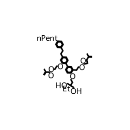 C=C(C)C(=O)OCCOc1cc(CCc2ccc(CCCCC)cc2)ccc1-c1ccc(OCCC(CC)(CO)CO)c(CCOC2CC(C(=C)C)O2)c1